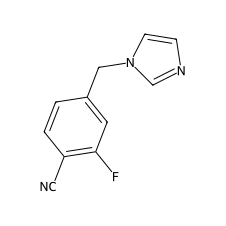 N#Cc1ccc(Cn2ccnc2)cc1F